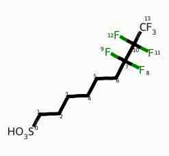 O=S(=O)(O)CCCCCCC(F)(F)C(F)(F)C(F)(F)F